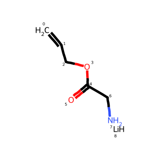 C=CCOC(=O)CN.[LiH]